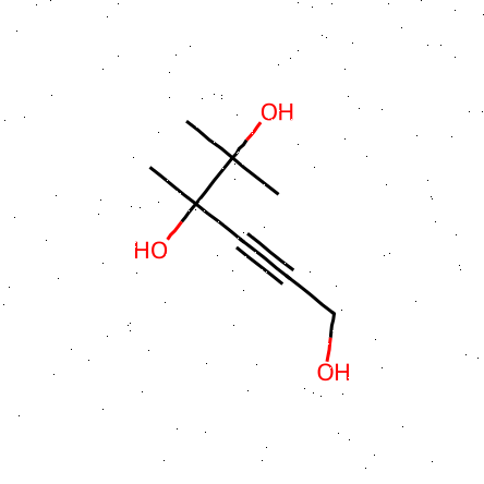 CC(C)(O)C(C)(O)C#CCO